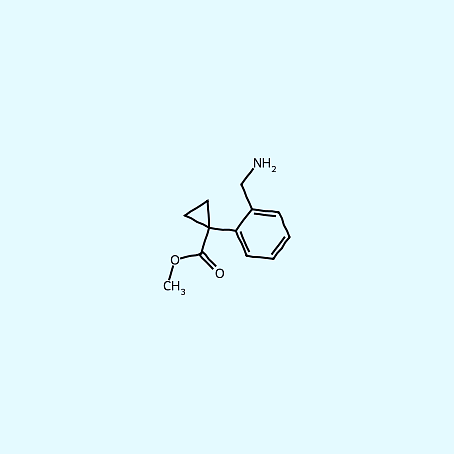 COC(=O)C1(c2ccccc2CN)CC1